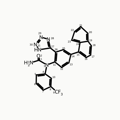 NC(=O)N(c1cccc(C(F)(F)F)c1)c1ccc(-c2cccc3ccccc23)cc1-c1nnn[nH]1